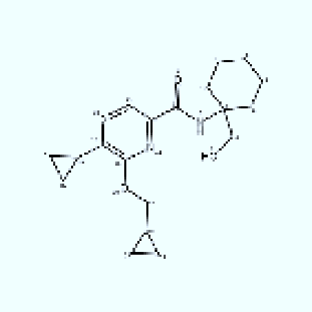 O=C(NC1(CO)CCCCC1)c1cnc(C2CC2)c(OCC2CC2)n1